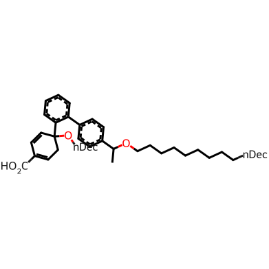 CCCCCCCCCCCCCCCCCCCOC(C)c1ccc(-c2ccccc2C2(OCCCCCCCCCC)C=CC(C(=O)O)=CC2)cc1